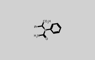 CC(C)C(C(=O)O)N(C(N)=O)c1ccccc1